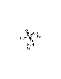 [Fe].[NaH].[Ni].[O]=[Mn](=[O])([OH])[OH]